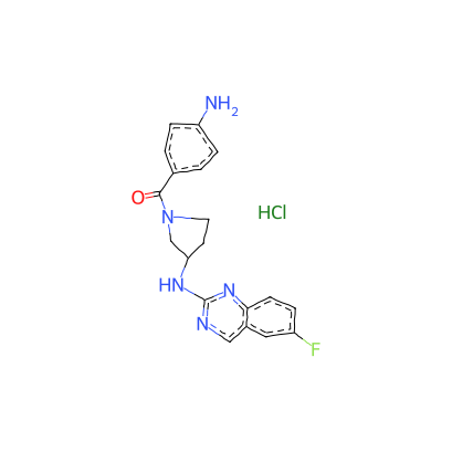 Cl.Nc1ccc(C(=O)N2CCC(Nc3ncc4cc(F)ccc4n3)C2)cc1